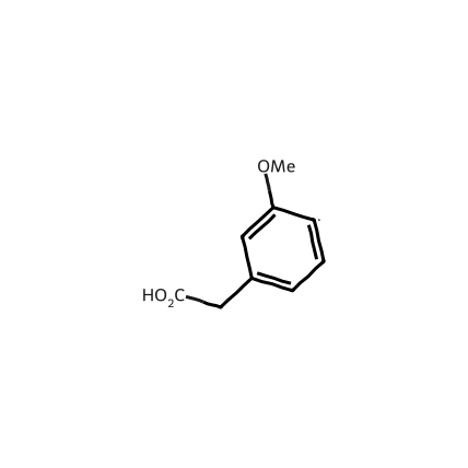 COc1[c]ccc(CC(=O)O)c1